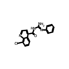 NC(=Nc1ccccc1)NC(=O)c1ccnc2c(Cl)cccc12